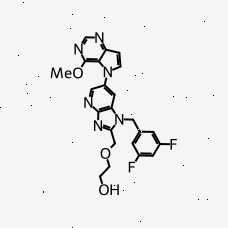 COc1ncnc2ccn(-c3cnc4nc(COCCO)n(Cc5cc(F)cc(F)c5)c4c3)c12